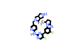 Fc1cnc(Nc2ccc(CN3CC4CNCC4C3)cn2)nc1-c1cc(F)c2nc3n(c2c1)C(C(F)(F)F)CC3